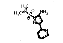 CN(C)S(=O)(=O)n1nc(-c2ccccn2)cc1N